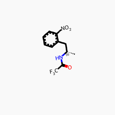 C[C@@H](Cc1ccccc1[N+](=O)[O-])NC(=O)C(F)(F)F